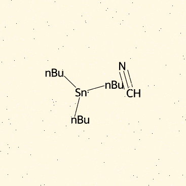 C#N.CCC[CH2][Sn]([CH2]CCC)[CH2]CCC